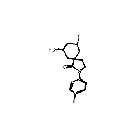 NC1CC(F)CC2(CCN(c3ccc(F)cc3)C2=O)C1